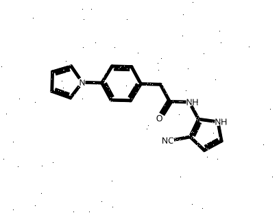 N#Cc1cc[nH]c1NC(=O)Cc1ccc(-n2cccc2)cc1